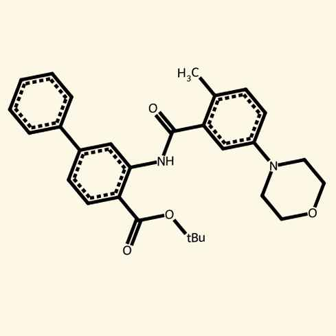 Cc1ccc(N2CCOCC2)cc1C(=O)Nc1cc(-c2ccccc2)ccc1C(=O)OC(C)(C)C